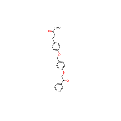 COC(=O)CCc1ccc(OCc2ccc(OCC(=O)c3ccccc3)cc2)cc1